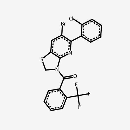 O=C(c1ccccc1C(F)(F)F)N1CSc2cc(Br)c(-c3ccccc3Cl)nc21